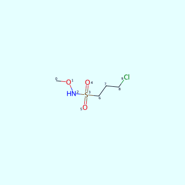 CONS(=O)(=O)CCCCl